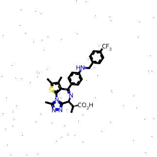 Cc1sc2c(c1C)C(c1ccc(NCc3ccc(C(F)(F)F)cc3)cc1)=NC([C@H](C)C(=O)O)c1nnc(C)n1-2